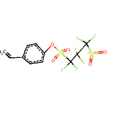 C=Cc1ccc(OS(=O)(=O)C(F)(F)C(F)(F)C(F)(F)[SH](=O)=O)cc1